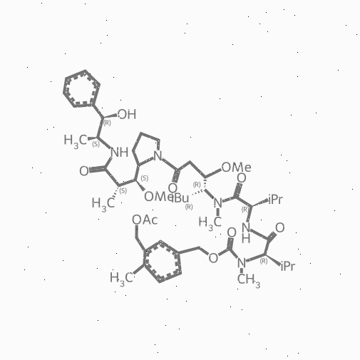 CC[C@@H](C)[C@H](C(CC(=O)N1CCCC1[C@@H](OC)[C@H](C)C(=O)N[C@@H](C)[C@H](O)c1ccccc1)OC)N(C)C(=O)[C@H](NC(=O)[C@@H](C(C)C)N(C)C(=O)OCc1ccc(C)c(COC(C)=O)c1)C(C)C